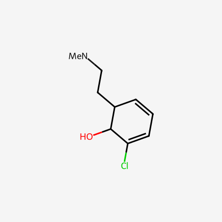 CNCCC1C=CC=C(Cl)C1O